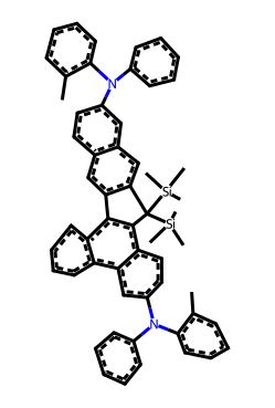 Cc1ccccc1N(c1ccccc1)c1ccc2cc3c(cc2c1)C([Si](C)(C)C)([Si](C)(C)C)c1c-3c2ccccc2c2cc(N(c3ccccc3)c3ccccc3C)ccc12